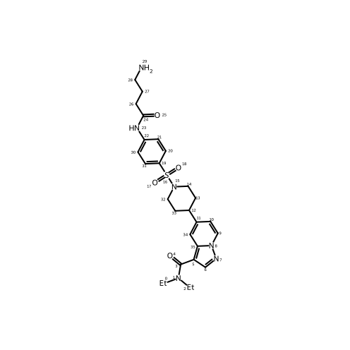 CCN(CC)C(=O)c1cnn2ccc(C3CCN(S(=O)(=O)c4ccc(NC(=O)CCCN)cc4)CC3)cc12